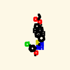 CCC(=O)O[C@H]1CC[C@H]2[C@@H]3CC=C4c5sc(Nc6cc(Cl)ccc6OC)nc5CC[C@]4(C)[C@H]3CC[C@]12C